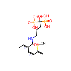 C=C(/C=C\C(=C/C)C(O)NCCCC(O)(P(=O)(O)O)P(=O)(O)O)SC#N